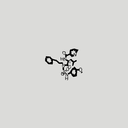 COc1ccc(NS(=O)(=O)CN(CCCc2ccccc2)C(=O)[C@H](CC(C)C)NC(=O)c2cccnc2)cc1